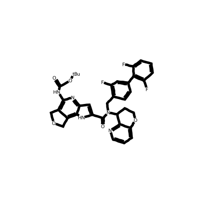 CC(C)(C)OC(=O)Nc1nc2cc(C(=O)N(Cc3ccc(-c4c(F)cccc4F)cc3F)C3CCOc4cccnc43)[nH]c2c2c1COC2